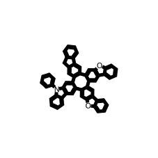 c1ccc(-n2c3ccccc3c3cc4c(cc32)-c2cc3c(cc2-c2cc5oc6ccccc6c5cc2-c2cc5c(cc2-4)oc2ccccc25)-c2ccccc2C3)cc1